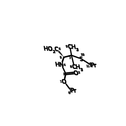 CC(C)OC(=O)N[C@H](C(=O)O)C(C)(C)SC(C)C